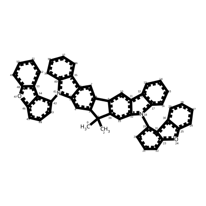 CC1(C)c2cc3c(cc2-c2cc4c5ccccc5n(-c5cccc6oc7ccccc7c56)c4cc21)c1ccccc1n3-c1cccc2oc3ccccc3c12